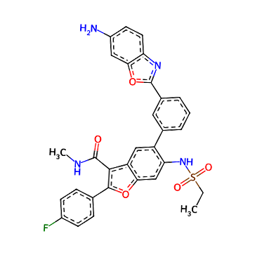 CCS(=O)(=O)Nc1cc2oc(-c3ccc(F)cc3)c(C(=O)NC)c2cc1-c1cccc(-c2nc3ccc(N)cc3o2)c1